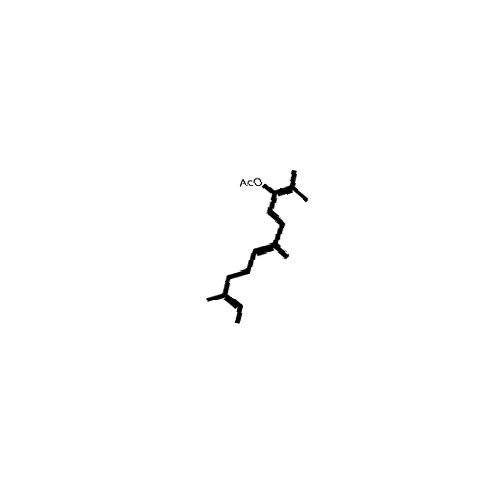 CC=C(C)CCC=C(C)CCC(OC(C)=O)=C(C)C